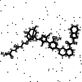 Cc1c(-c2ccc(N3CCc4cccc(C(=O)Nc5nc6ccccc6s5)c4C3)nc2C(=O)O)c(I)nn1CC12CC3(C)CC(C)(C1)CC(OCCNCCC(N)=O)(C3)C2